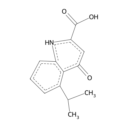 CC(C)c1cccc2[nH]c(C(=O)O)cc(=O)c12